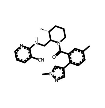 Cc1ccc(-c2cnn(C)c2)c(C(=O)N2CCC[C@@H](C)C2CNc2ncccc2C#N)c1